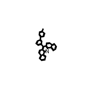 Cc1ccc(-c2cccc(-c3c4ccc5ccccc5c4nc4c3ccc3ccccc34)c2)cc1